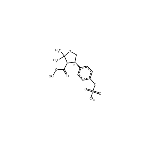 CC(C)(C)OC(=O)N1[C@H](c2ccc(OS(=O)(=O)C(F)(F)F)cc2)COC1(C)C